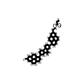 C=CC(=O)OCCc1cc2ccc3ccc(-c4ccc5c(c4)C(C)(C)c4cc(-c6ccc7ccc8cc(C)cc9ccc6c7c89)ccc4-5)c4ccc(c1)c2c34